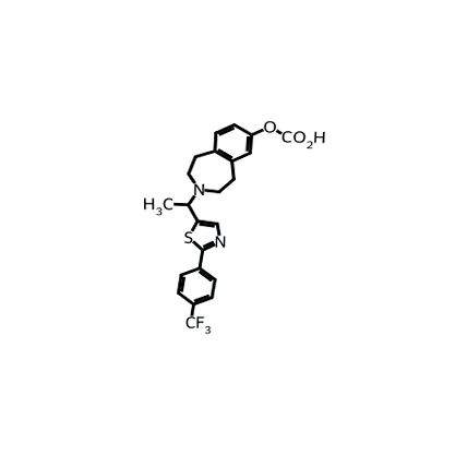 CC(c1cnc(-c2ccc(C(F)(F)F)cc2)s1)N1CCc2ccc(OC(=O)O)cc2CC1